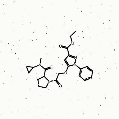 CCOC(=O)c1cc(OCC(=O)N2CCC[C@H]2C(=O)N(C)C2CC2)n(-c2ccccc2)n1